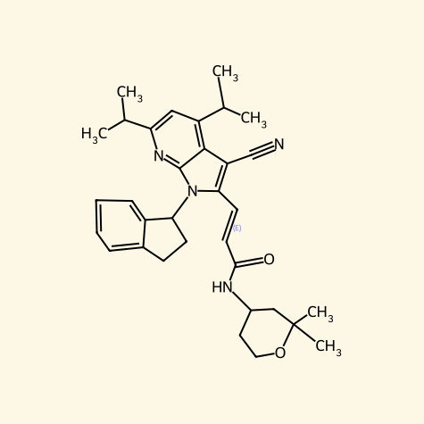 CC(C)c1cc(C(C)C)c2c(C#N)c(/C=C/C(=O)NC3CCOC(C)(C)C3)n(C3CCc4ccccc43)c2n1